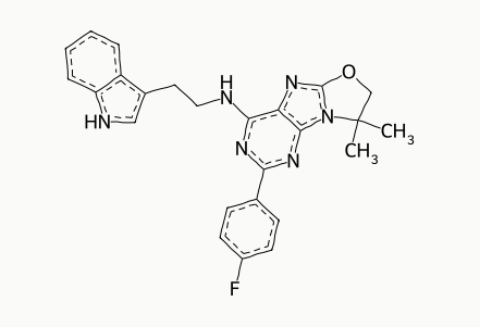 CC1(C)COc2nc3c(NCCc4c[nH]c5ccccc45)nc(-c4ccc(F)cc4)nc3n21